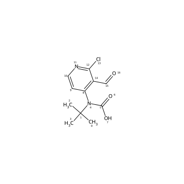 CC(C)(C)N(C(=O)O)c1ccnc(Cl)c1C=O